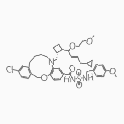 COCCOC(/C=C/CC1CC1)[C@@H]1CC[C@H]1CN1CCCCc2cc(Cl)ccc2COc2ccc(C(=O)NS(=O)(=O)NCc3ccc(OC)cc3)cc21